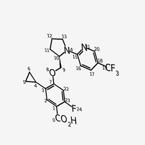 O=C(O)c1cc(C2CC2)c(OC[C@H]2CCCN2c2ccc(C(F)(F)F)cn2)cc1F